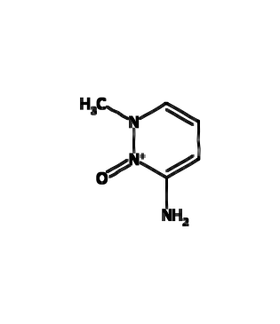 Cn1cccc(N)[n+]1=O